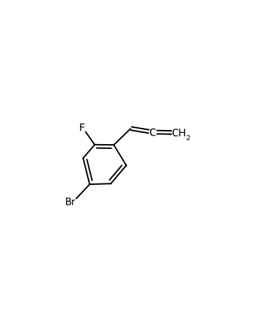 C=C=Cc1ccc(Br)cc1F